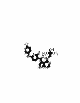 CCc1ccc(Nc2ccc(C(=O)c3c[nH]c4ncnc(NCC(C)(C)O)c34)c(F)n2)cn1